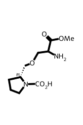 COC(=O)C(N)COC[C@H]1CCCN1C(=O)O